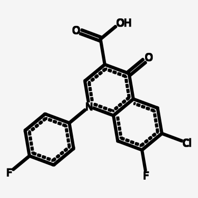 O=C(O)c1cn(-c2ccc(F)cc2)c2cc(F)c(Cl)cc2c1=O